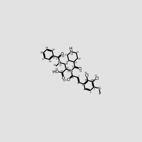 CSc1ccc(C=CC(=O)N(C(=O)C2CCNCC2)C(CN(C)C(=O)c2ccccc2)C(=O)O)c(Cl)c1Cl